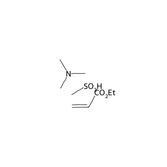 C=CC(=O)OCC.CN(C)C.CS(=O)(=O)O